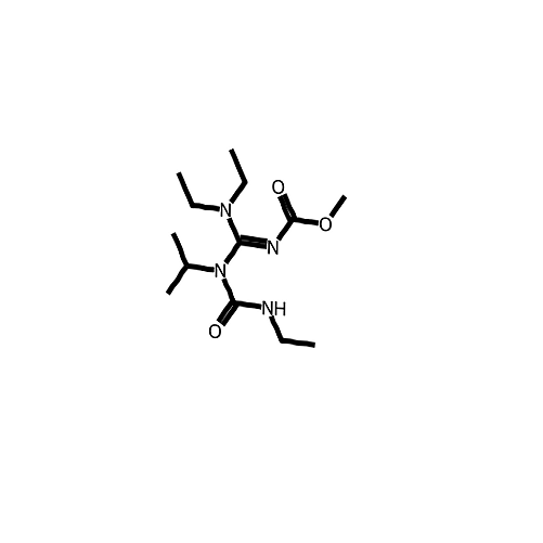 CCNC(=O)N(C(=NC(=O)OC)N(CC)CC)C(C)C